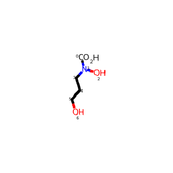 O=C(O)N(O)CCCO